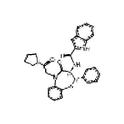 O=C(N[C@@H]1C(=O)N(CC(=O)N2CCCC2)c2ccccc2S[C@H]1c1ccccc1)c1cc2ccccc2[nH]1